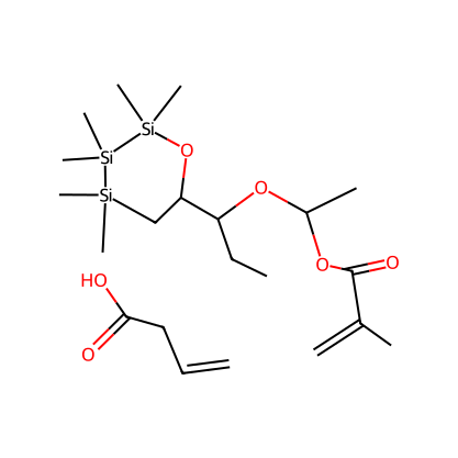 C=C(C)C(=O)OC(C)OC(CC)C1C[Si](C)(C)[Si](C)(C)[Si](C)(C)O1.C=CCC(=O)O